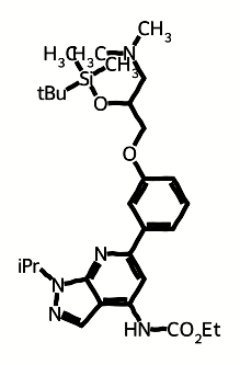 CCOC(=O)Nc1cc(-c2cccc(OCC(CN(C)C)O[Si](C)(C)C(C)(C)C)c2)nc2c1cnn2C(C)C